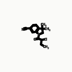 CCC(Cl)C(=O)N1CC(C)(C)c2ccc(C#N)cc21